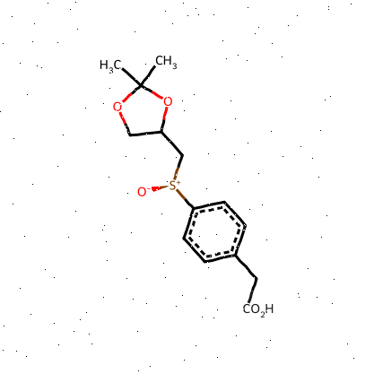 CC1(C)OCC(C[S@+]([O-])c2ccc(CC(=O)O)cc2)O1